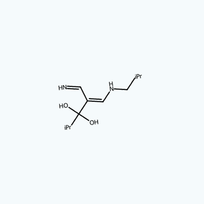 CC(C)CN/C=C(\C=N)C(O)(O)C(C)C